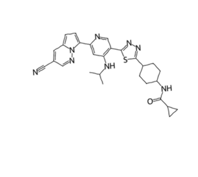 CC(C)Nc1cc(-c2ccc3cc(C#N)cnn23)ncc1-c1nnc(C2CCC(NC(=O)C3CC3)CC2)s1